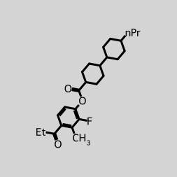 CCCC1CCC(C2CCC(C(=O)Oc3ccc(C(=O)CC)c(C)c3F)CC2)CC1